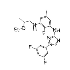 CCOC(C)CNc1cc(C)cc(Nc2ncn(-c3cc(F)cc(F)c3)n2)c1F